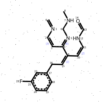 C=N\C=C/C(=N\CNC)C(/C=C\NC=O)=C\Cc1cccc(F)c1